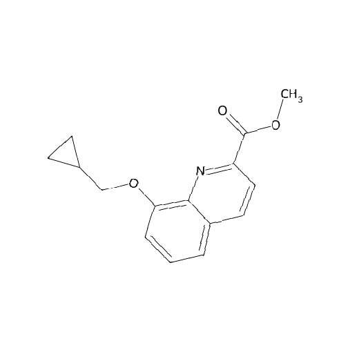 COC(=O)c1ccc2cccc(OCC3CC3)c2n1